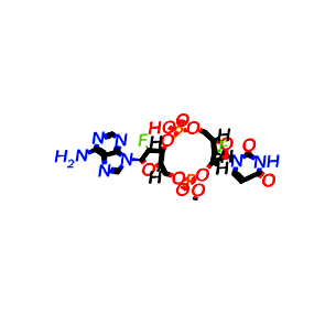 COP1(=O)OC[C@H]2O[C@@H](n3cnc4c(N)ncnc43)[C@H](F)[C@@H]2OP(=O)(O)OC[C@H]2O[C@@H](n3ccc(=O)[nH]c3=O)[C@H](O1)[C@@H]2F